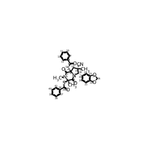 CN1C(=O)C2(SC(=O)c3ccccc3)C[C@](C)(C#N)[C@H](c3ccc4c(c3)OCO4)N2C(=O)[C@]1(C)SC(=O)c1ccccc1